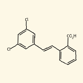 O=C(O)c1ccccc1C=Cc1cc(Cl)cc(Cl)c1